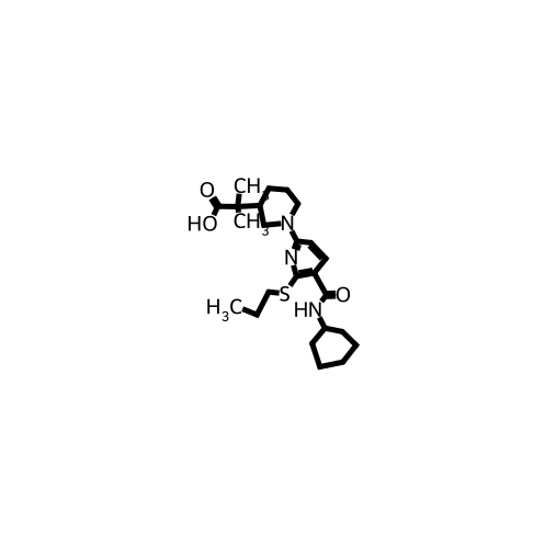 CCCSc1nc(N2CCCC(C(C)(C)C(=O)O)C2)ccc1C(=O)NC1CCCCC1